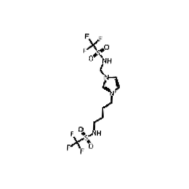 O=S(=O)(NCCCC[n+]1ccn(CNS(=O)(=O)C(F)(F)F)c1)C(F)(F)F